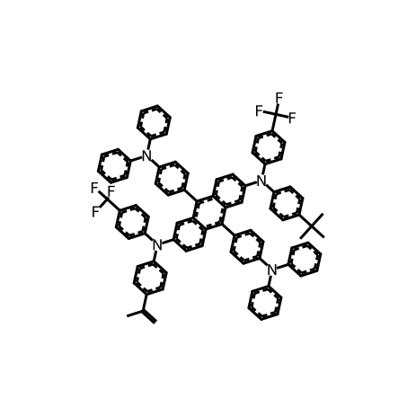 C=C(C)c1ccc(N(c2ccc(C(F)(F)F)cc2)c2ccc3c(-c4ccc(N(c5ccccc5)c5ccccc5)cc4)c4cc(N(c5ccc(C(C)(C)C)cc5)c5ccc(C(F)(F)F)cc5)ccc4c(-c4ccc(N(c5ccccc5)c5ccccc5)cc4)c3c2)cc1